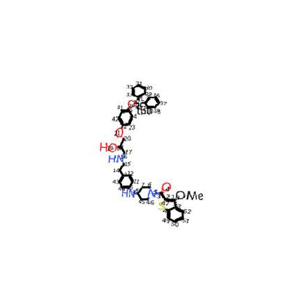 COc1c(C(=O)N2CCC(Nc3ccc(CCNCC(O)COc4ccc(O[Si](c5ccccc5)(c5ccccc5)C(C)(C)C)cc4)cc3)CC2)sc2ccccc12